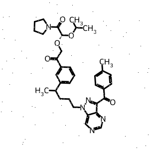 Cc1ccc(C(=O)c2nn(CCCC(C)c3cccc(C(=O)CO[C@@H](OC(C)C)C(=O)N4CCCC4)c3)c3cncnc23)cc1